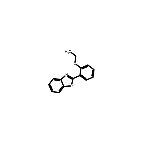 CCOc1ccccc1-c1nc2ccccc2o1